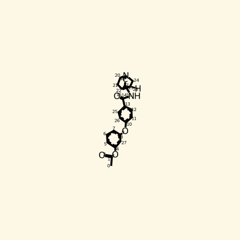 CC(=O)Oc1cccc(Oc2ccc(C(=O)N[C@H]3CN4CCC3CC4)cc2)c1